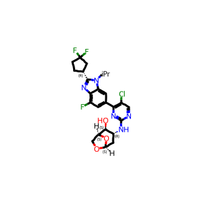 CC(C)n1c([C@@H]2CCC(F)(F)C2)nc2c(F)cc(-c3nc(N[C@@H]4C[C@H]5OC[C@H](O5)[C@H]4O)ncc3Cl)cc21